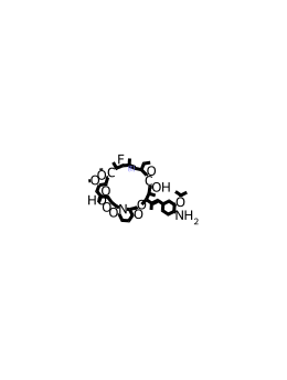 CCC1/C=C(\C)C(F)C(C)CC(OC)C2OC(O)(C(=O)C(=O)N3CCCCC3C(=O)OC(C(C)=CC3CCC(N)C(OC(C)C)C3)C(C)C(O)CC1=O)C(C)CC2OC